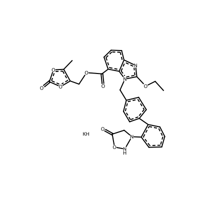 CCOc1nc2cccc(C(=O)OCc3oc(=O)oc3C)c2n1Cc1ccc(-c2ccccc2N2CC(=O)ON2)cc1.[KH]